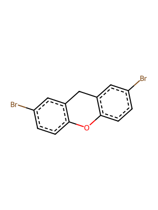 Brc1ccc2c(c1)Cc1cc(Br)ccc1O2